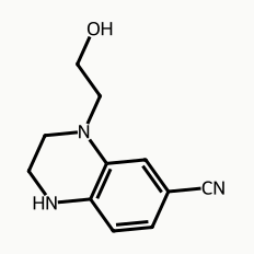 N#Cc1ccc2c(c1)N(CCO)CCN2